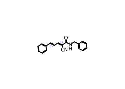 N#C/C(=C\C=C\c1ccccc1)C(=O)NCc1ccccc1